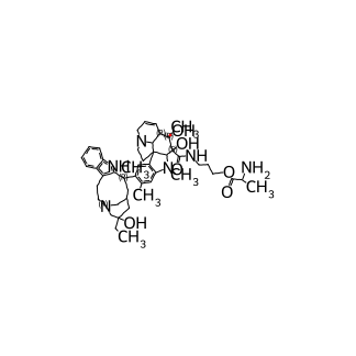 CCC1(O)CC2C[N@](CCc3c([nH]c4ccccc34)[C@@](C)(c3cc4c(cc3C)N(C)C3C45CCN4CC=C[C@](CC)(C45)[C@@H](O)[C@]3(O)C(=O)NCCCOC(=O)C(C)N)C2)C1